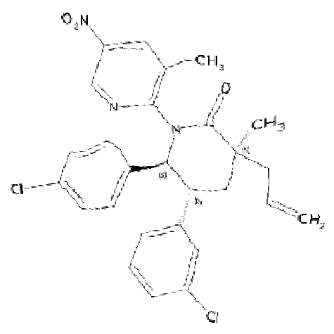 C=CC[C@@]1(C)C[C@H](c2cccc(Cl)c2)[C@@H](c2ccc(Cl)cc2)N(c2ncc([N+](=O)[O-])cc2C)C1=O